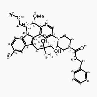 CO[C@@H](C)c1ncc(N2CCN(C(=O)OCc3ccccc3)CC2)cc1-c1c(CC(C)(C)CO)c2cc(Br)ccc2n1CCOC(C)C